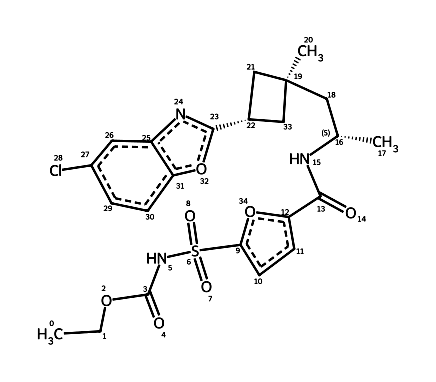 CCOC(=O)NS(=O)(=O)c1ccc(C(=O)N[C@@H](C)C[C@]2(C)C[C@@H](c3nc4cc(Cl)ccc4o3)C2)o1